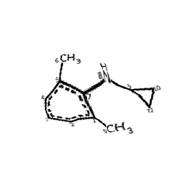 Cc1cccc(C)c1NC1CC1